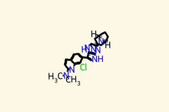 CN(C)c1ccc2ccc(-c3c[nH]c4nc(N5[C@@H]6CC[C@H]5C[C@@H](N)C6)cnc34)c(Cl)c2n1